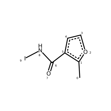 Cc1occc1C(=O)NI